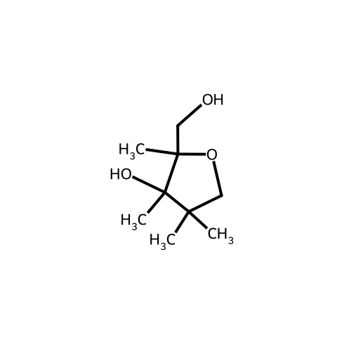 CC1(C)COC(C)(CO)C1(C)O